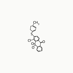 CC1=CC=C(Sc2ccc3c(c2Cl)S(=O)(=O)c2ccccc2C3=O)CC1